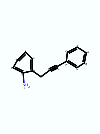 Nc1ccccc1CC#Cc1ccccc1